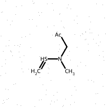 C=[SH]N(C)CC(C)=O